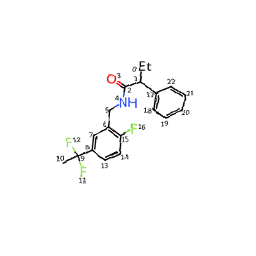 CCC(C(=O)NCc1cc(C(C)(F)F)ccc1F)c1ccccc1